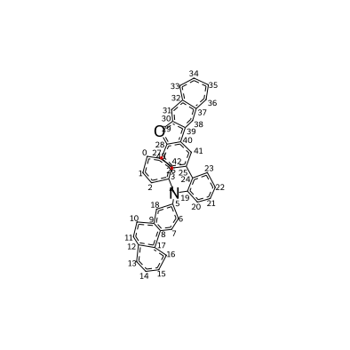 c1ccc(N(c2ccc3c(ccc4ccccc43)c2)c2ccccc2-c2ccc3oc4cc5ccccc5cc4c3c2)cc1